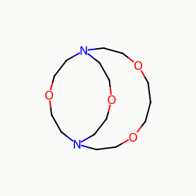 C1COCCN2CCOCCN(CCOC1)CCOCC2